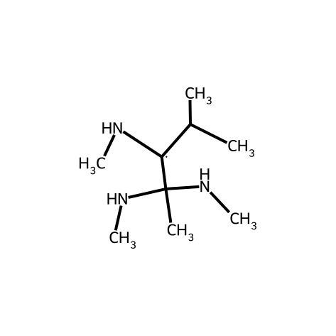 CN[C](C(C)C)C(C)(NC)NC